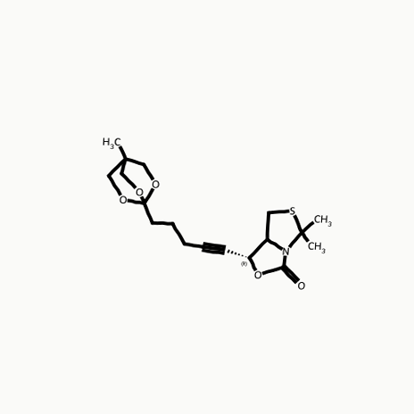 CC12COC(CCCC#C[C@H]3OC(=O)N4C3CSC4(C)C)(OC1)OC2